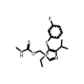 CC[N+]1(COC(=S)NC)C=NC(C(C)C)=C1Sc1cccc(F)c1